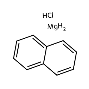 Cl.[MgH2].c1ccc2ccccc2c1